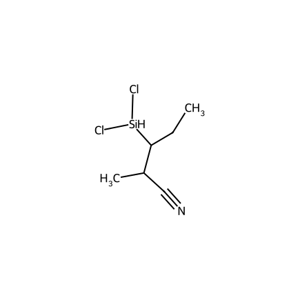 CCC(C(C)C#N)[SiH](Cl)Cl